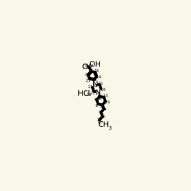 CCCCCC1CCC(N2CCN(c3ccc(C(=O)O)cc3)CC2)CC1.Cl